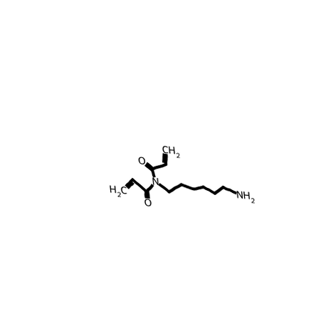 C=CC(=O)N(CCCCCCN)C(=O)C=C